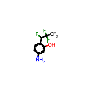 Nc1ccc(C(F)C(F)(F)C(F)(F)F)c(O)c1